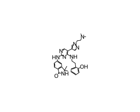 CN(C)CCn1cc(-c2cnc(Nc3ccc4c(c3)C(C)(C)NC4=O)nc2NCCc2ccccc2O)cn1